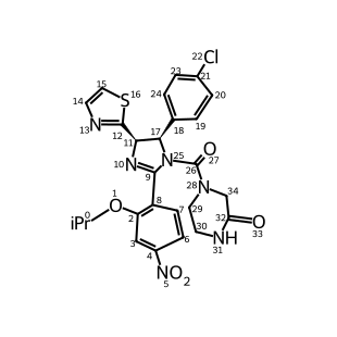 CC(C)Oc1cc([N+](=O)[O-])ccc1C1=N[C@@H](c2nccs2)[C@@H](c2ccc(Cl)cc2)N1C(=O)N1CCNC(=O)C1